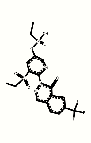 CCP(=O)(O)Oc1cnc(-n2ncc3ccc(C(F)(F)F)cc3c2=O)c(S(=O)(=O)CC)c1